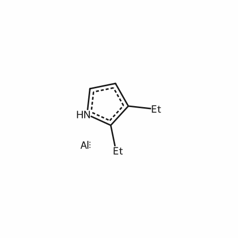 CCc1cc[nH]c1CC.[Al]